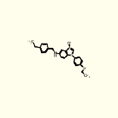 CCOc1ccc(-n2c[n+]([O-])c3cc(NCc4ccc(CC)cc4)ccc32)cc1